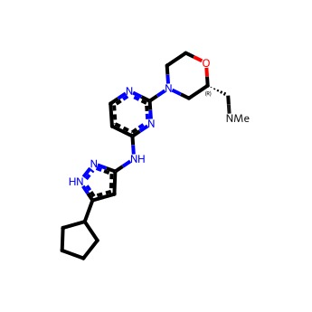 CNC[C@@H]1CN(c2nccc(Nc3cc(C4CCCC4)[nH]n3)n2)CCO1